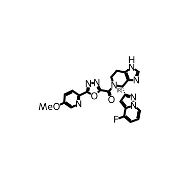 COc1ccc(-c2nnc(C(=O)N3CCc4[nH]cnc4[C@@H]3c3cc4c(F)cccn4n3)o2)nc1